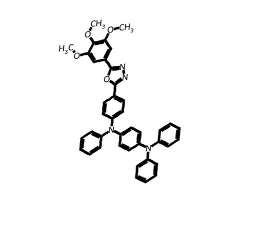 COc1cc(-c2nnc(-c3ccc(N(c4ccccc4)c4ccc(N(c5ccccc5)c5ccccc5)cc4)cc3)o2)cc(OC)c1OC